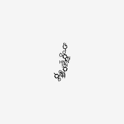 COc1ccc(C)cc1NC(=O)Nc1ccc2nc(Nc3ncnc4cc(OCC5CCN(C)CC5)c(OC)cc34)sc2c1